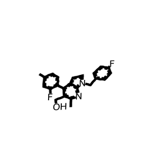 Cc1ccc(-c2c(CO)c(C)nc3c2ccn3Cc2ccc(F)cc2)c(F)c1